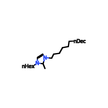 CCCCCCCCCCCCCCCCN1C=CN(CCCCCC)C1C